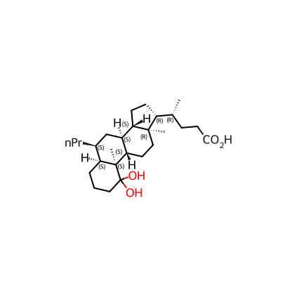 CCC[C@H]1C[C@H]2[C@@H]3CC[C@H]([C@H](C)CCC(=O)O)[C@@]3(C)CC[C@@H]2[C@]2(C)[C@H]1CCCC2(O)O